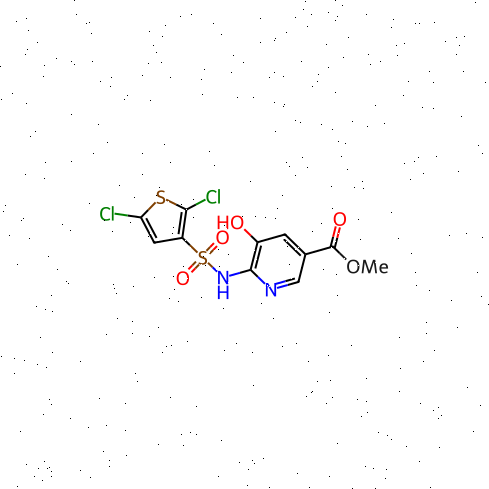 COC(=O)c1cnc(NS(=O)(=O)c2cc(Cl)sc2Cl)c(O)c1